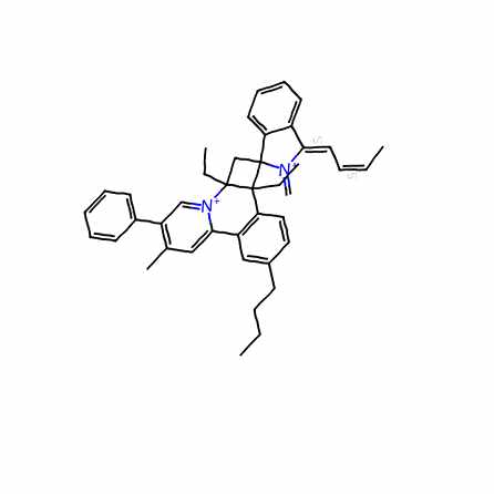 C=[N+]1/C(=C\C=C/C)c2ccccc2C12CC1(CC)[n+]3cc(-c4ccccc4)c(C)cc3-c3cc(CCCC)ccc3C21CC